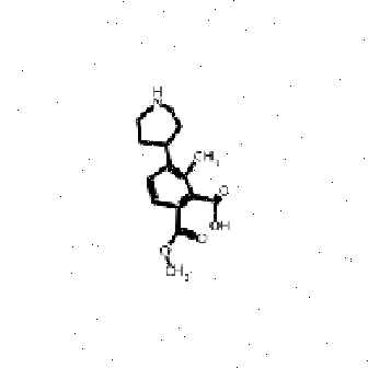 COC(=O)c1ccc(C2CCNCC2)c(C)c1C(=O)O